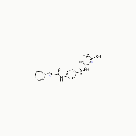 C/C(O)=C\C(=N)NS(=O)(=O)c1ccc(NC(=O)/C=C/c2ccccc2)cc1